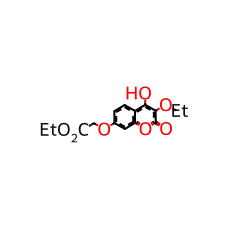 CCOC(=O)COc1ccc2c(O)c(OCC)c(=O)oc2c1